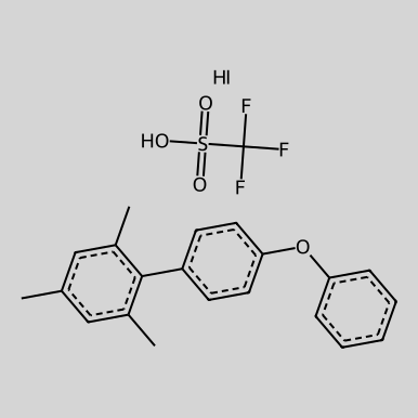 Cc1cc(C)c(-c2ccc(Oc3ccccc3)cc2)c(C)c1.I.O=S(=O)(O)C(F)(F)F